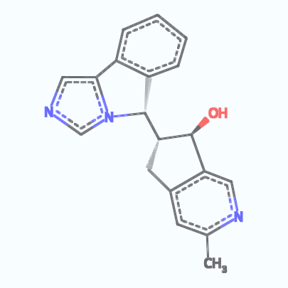 Cc1cc2c(cn1)[C@H](O)[C@@H]([C@H]1c3ccccc3-c3cncn31)C2